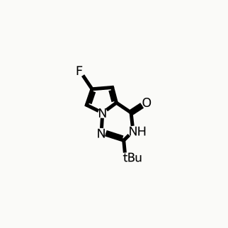 CC(C)(C)c1nn2cc(F)cc2c(=O)[nH]1